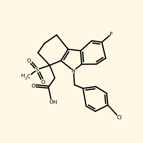 CS(=O)(=O)C1(CC(=O)O)CCCc2c1n(Cc1ccc(Cl)cc1)c1ccc(F)cc21